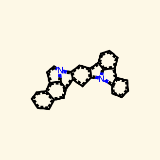 c1ccc2c(c1)cc1c3cc4c(cc3n3ccc2c13)c1cccc2c3ccccc3n4c21